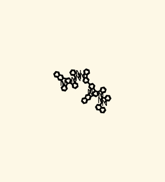 c1ccc2cc3c(cc2c1)c1cc2c(c4ccccc4n2-c2nc(-c4cccc5ccccc45)nc4ccccc24)c2c4ccc(-c5ccc6c(c5)c5ccccc5n6-c5nc(-n6c7ccccc7c7c8c9ccccc9n9c%10cc%11ccccc%11cc%10c(cc76)c89)c6ccccc6n5)cc4n3c12